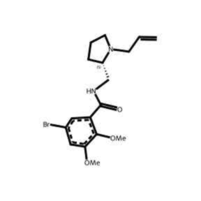 C=CCN1CCC[C@H]1CNC(=O)c1cc(Br)cc(OC)c1OC